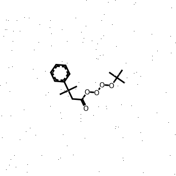 CC(C)(C)OOOOC(=O)CC(C)(C)c1ccccc1